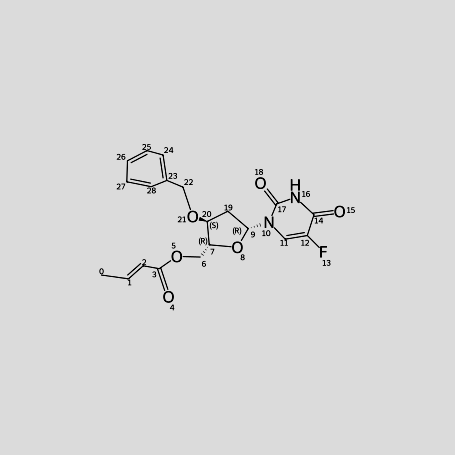 CC=CC(=O)OC[C@H]1O[C@@H](n2cc(F)c(=O)[nH]c2=O)C[C@@H]1OCc1ccccc1